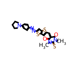 CN1C(=O)C(=Cc2cc3sc(/N=N/c4ccc(N5CCCCC5)cc4)cc3s2)C(=O)N(C)C1=S